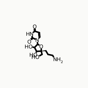 NCCC[C@]1(CO)OC(n2ccc(=O)[nH]c2=O)C(O)C1O